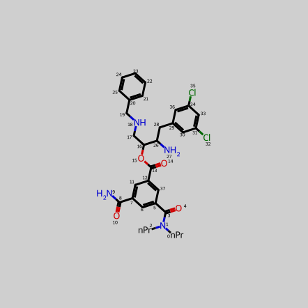 CCCN(CCC)C(=O)c1cc(C(N)=O)cc(C(=O)OC(CNCc2ccccc2)C(N)Cc2cc(Cl)cc(Cl)c2)c1